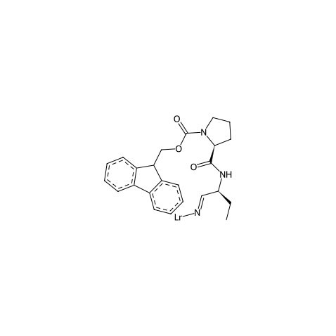 CC[C@@H](/C=[N]/[Lr])NC(=O)[C@@H]1CCCN1C(=O)OCC1c2ccccc2-c2ccccc21